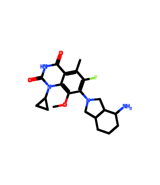 COc1c(N2CC3CCCC(N)C3C2)c(F)c(C)c2c(=O)[nH]c(=O)n(C3CC3)c12